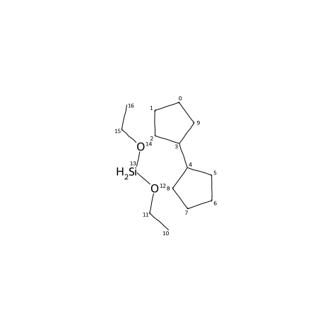 C1CCC(C2CCCC2)C1.CCO[SiH2]OCC